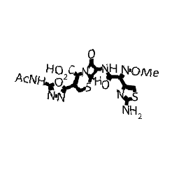 CON=C(C(=O)NC1C(=O)N2C(C(=O)O)=C(c3nnc(NC(C)=O)o3)CS[C@@H]12)c1csc(N)n1